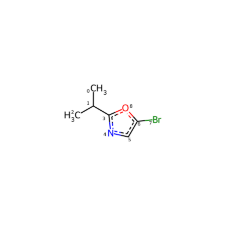 CC(C)c1ncc(Br)o1